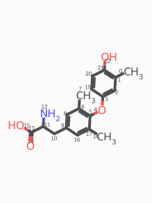 Cc1cc(Oc2c(C)cc(CC(N)C(=O)O)cc2C)ccc1O